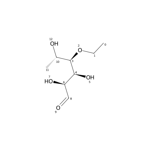 CCO[C@@H]([C@@H](O)[C@H](O)C=O)[C@H](C)O